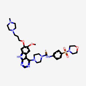 COc1cc2c(cc1OCCCN1CCN(C)CC1)[nH]c1ncnc(N3CCN(C(=S)Nc4ccc(S(=O)(=O)N5CCOCC5)cc4)CC3)c12